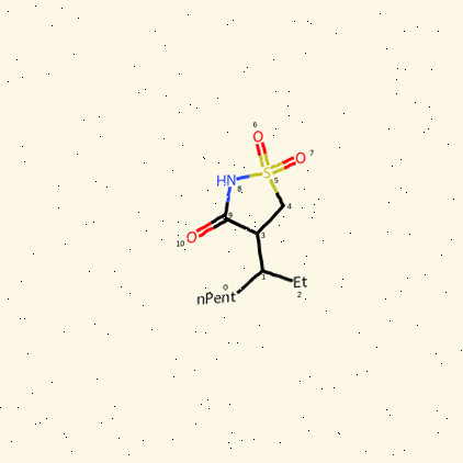 CCCCCC(CC)C1CS(=O)(=O)NC1=O